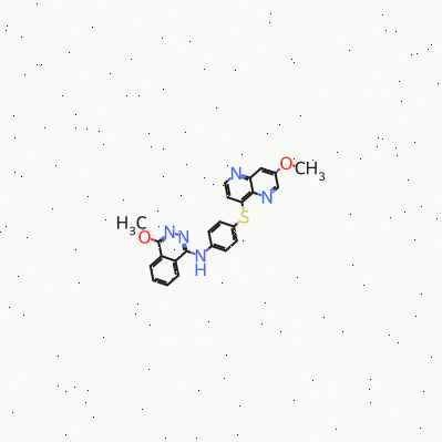 COc1cnc2c(Sc3ccc(Nc4nnc(OC)c5ccccc45)cc3)ccnc2c1